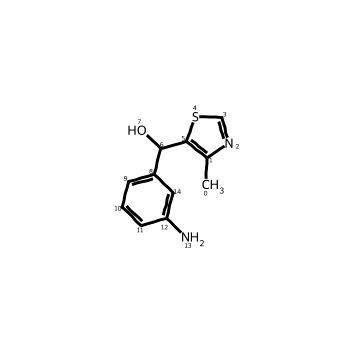 Cc1ncsc1C(O)c1cccc(N)c1